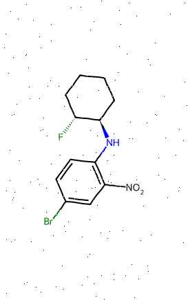 O=[N+]([O-])c1cc(Br)ccc1N[C@@H]1CCCC[C@H]1F